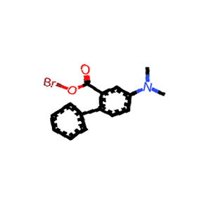 CN(C)c1ccc(-c2ccccc2)c(C(=O)OBr)c1